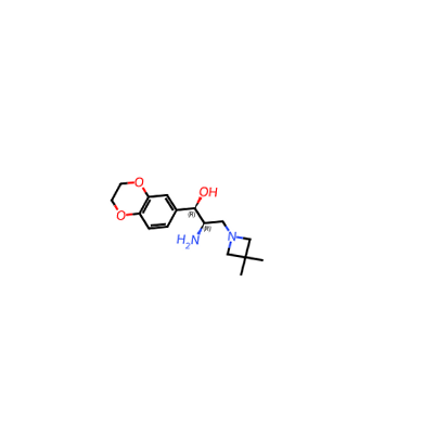 CC1(C)CN(C[C@@H](N)[C@H](O)c2ccc3c(c2)OCCO3)C1